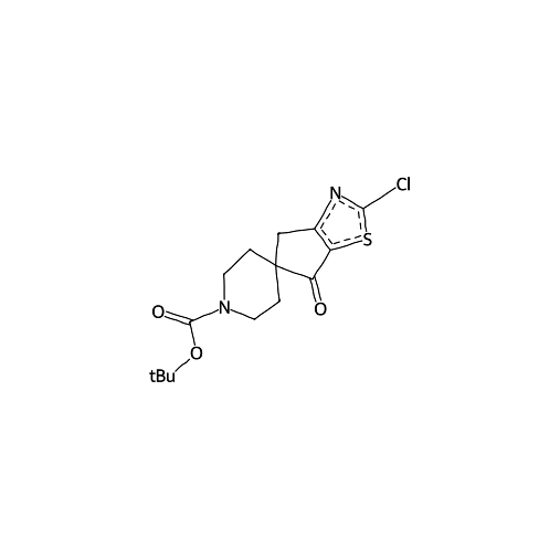 CC(C)(C)OC(=O)N1CCC2(CC1)Cc1nc(Cl)sc1C2=O